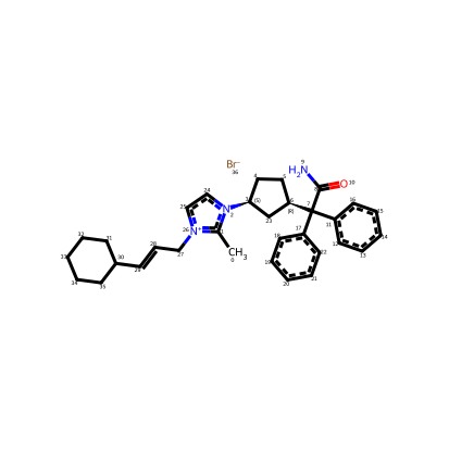 Cc1n([C@H]2CC[C@@H](C(C(N)=O)(c3ccccc3)c3ccccc3)C2)cc[n+]1CC=CC1CCCCC1.[Br-]